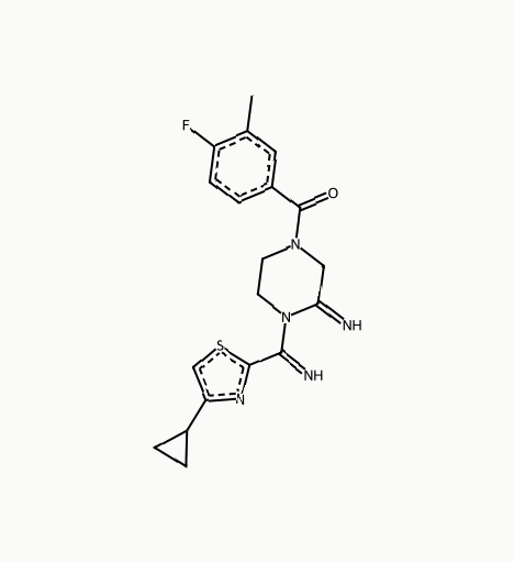 Cc1cc(C(=O)N2CCN(C(=N)c3nc(C4CC4)cs3)C(=N)C2)ccc1F